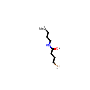 COCCCNC(=O)CCCS